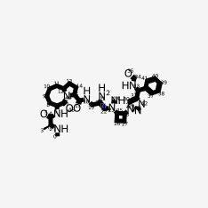 CN[C@@H](C)C(=O)NC1CCCCC2CCC(C(=O)NC/C(N)=C/N(N)C3CCC3n3cc(C(NC=O)c4ccccc4)nn3)N2C1=O